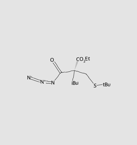 CCOC(=O)[C@@](CSC(C)(C)C)(C(=O)N=[N+]=[N-])C(C)CC